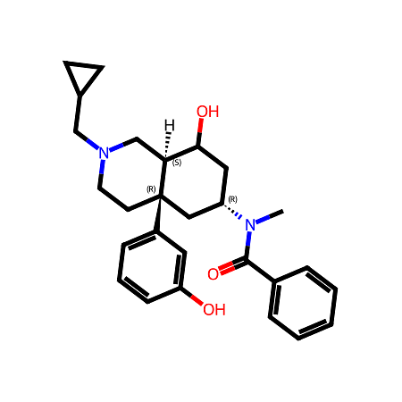 CN(C(=O)c1ccccc1)[C@H]1CC(O)[C@@H]2CN(CC3CC3)CC[C@@]2(c2cccc(O)c2)C1